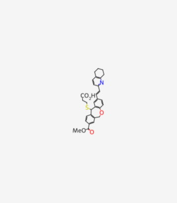 COC(=O)c1ccc2c(c1)COc1ccc(C=Cc3ccc4c(n3)CCCC4)cc1C2SCCC(=O)O